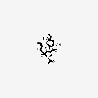 C/C=C\[C@H](C)[C@H]1OC1(C)[C@@H](O)[C@@H](COC(C)=O)C(=O)[C@@H]1COC(O)(CC)C[C@@H]1O